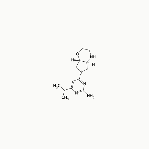 CC(C)c1cc(N2C[C@@H]3NCCO[C@H]3C2)nc(N)n1